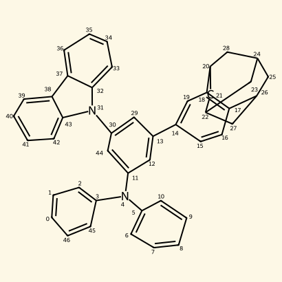 c1ccc(N(c2ccccc2)c2cc(-c3ccc4c(c3)C3CC5CC(CC4C5)C3)cc(-n3c4ccccc4c4ccccc43)c2)cc1